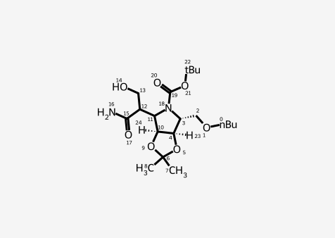 CCCCOC[C@@H]1[C@H]2OC(C)(C)O[C@H]2C(C(CO)C(N)=O)N1C(=O)OC(C)(C)C